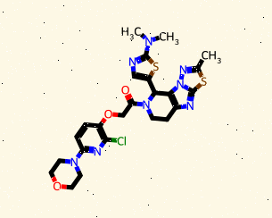 Cc1nn2c3c(nc2s1)CCN(C(=O)COc1ccc(N2CCOCC2)nc1Cl)C3c1cnc(N(C)C)s1